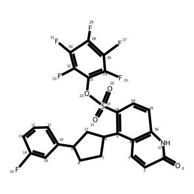 O=c1ccc2c(C3CCC(c4cccc(F)c4)C3)c(S(=O)(=O)Oc3c(F)c(F)c(F)c(F)c3F)ccc2[nH]1